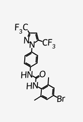 Cc1cc(Br)cc(C)c1NC(=O)Nc1ccc(-n2nc(C(F)(F)F)cc2C(F)(F)F)cc1